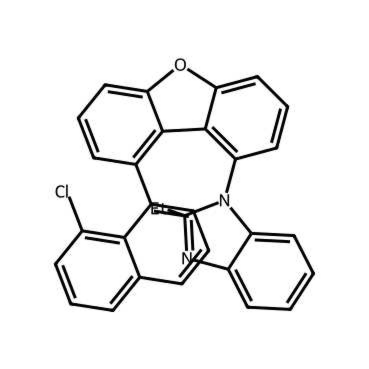 CCc1nc2ccccc2n1-c1cccc2oc3cccc(-c4cccc5cccc(Cl)c45)c3c12